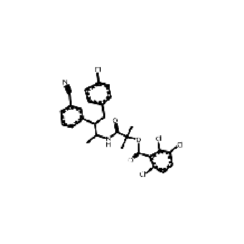 CC(NC(=O)C(C)(C)OC(=O)c1c(Cl)ccc(Cl)c1Cl)C(Cc1ccc(Cl)cc1)c1cccc(C#N)c1